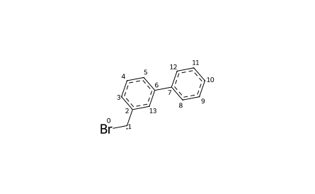 Br[CH]c1cccc(-c2ccccc2)c1